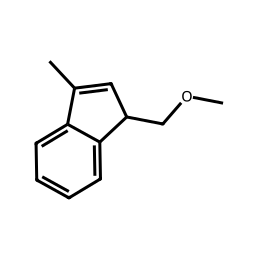 COCC1C=C(C)c2ccccc21